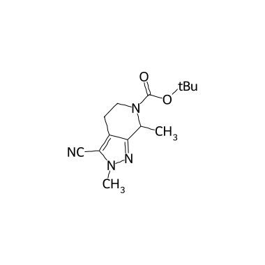 CC1c2nn(C)c(C#N)c2CCN1C(=O)OC(C)(C)C